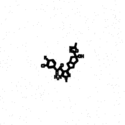 Cc1nnc(C2(O)CC3CC(c4nn(C)c(N)c4C(=O)Nc4ccc(F)c(Cl)c4)CC3C2)o1